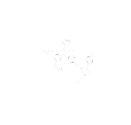 COc1ccc(CN(c2ncns2)S(=O)(=O)c2cc(F)c(OC[C@H]3CN(CC(F)F)CC[C@@H]3c3ccc(Cl)cc3)cc2F)c(OC)c1